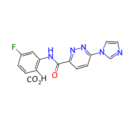 O=C(Nc1cc(F)ccc1C(=O)O)c1ccc(-n2ccnc2)nn1